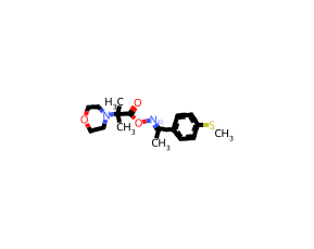 CSc1ccc(/C(C)=N/OC(=O)C(C)(C)N2CCOCC2)cc1